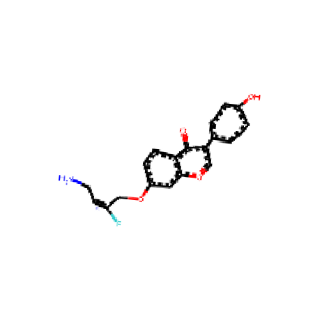 NC/C=C(/F)COc1ccc2c(=O)c(-c3ccc(O)cc3)coc2c1